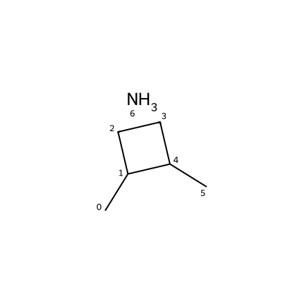 CC1CCC1C.N